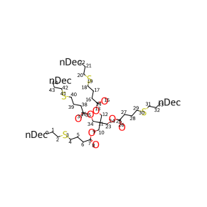 CCCCCCCCCCCCSCCCC(=O)OCC(COC(=O)CCCSCCCCCCCCCCCC)(COC(=O)CCCSCCCCCCCCCCCC)COC(=O)CCCSCCCCCCCCCCCC